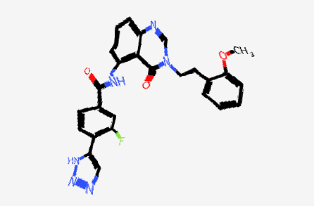 COc1ccccc1CCn1cnc2cccc(NC(=O)c3ccc(-c4cnn[nH]4)c(F)c3)c2c1=O